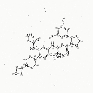 C=CC(=O)Nc1cc(Nc2cc(N3OCCC3c3cc(F)cc(F)c3)ncn2)c(OC)cc1N1CCN(C2COC2)CC1